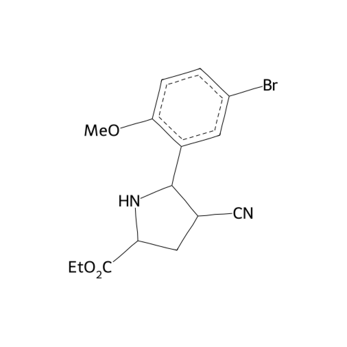 CCOC(=O)C1CC(C#N)C(c2cc(Br)ccc2OC)N1